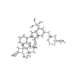 C[C@H]1CCCN(Cc2cc(C(F)(F)F)c3cn(-c4cccc([C@]5(C6NNCN6C)C[C@H](O)C5)c4)c(=O)n3c2)C1